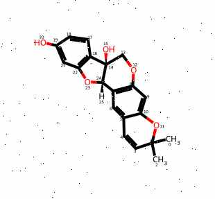 CC1(C)C=Cc2cc3c(cc2O1)OC[C@@]1(O)c2ccc(O)cc2O[C@@H]31